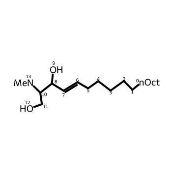 CCCCCCCCCCCCCC=CC(O)C(CO)NC